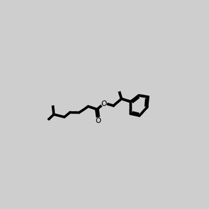 CC(C)CCCCC(=O)OCC(C)c1ccccc1